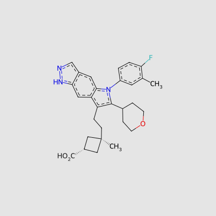 Cc1cc(-n2c(C3CCOCC3)c(CC[C@]3(C)C[C@@H](C(=O)O)C3)c3cc4[nH]ncc4cc32)ccc1F